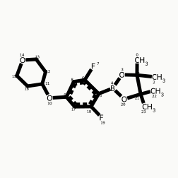 CC1(C)OB(c2c(F)cc(OC3CCOCC3)cc2F)OC1(C)C